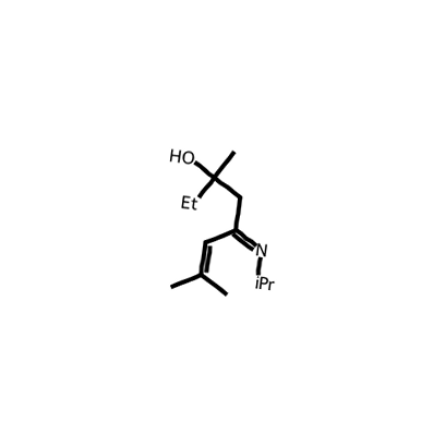 CCC(C)(O)C/C(C=C(C)C)=N/C(C)C